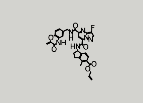 C=CCOC(=O)c1ccc2c(c1C)CC[C@@H]2NC(=O)c1cc(C(=O)NCc2ccc3c(c2)NC(=O)C(=C)O3)nc2c(F)cnn12